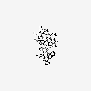 CCCCN(C)[C@H](C(=O)N[C@H](C(=O)N(C)[C@@H]([C@@H](C)CC)[C@@H](CC(=O)N1CCC[C@H]1[C@H](OC)[C@@H](C)C(=O)N[C@@H](Cc1ccccc1)c1nccs1)OC)C(C)C)C(C)C